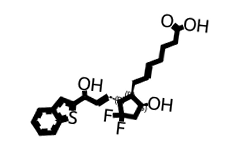 O=C(O)CCCC=CC[C@@H]1[C@@H](C=CC(O)c2cc3ccccc3s2)C(F)(F)C[C@@H]1O